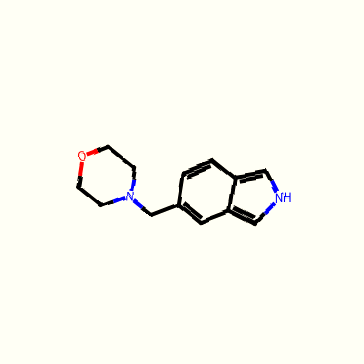 c1cc2c[nH]cc2cc1CN1CCOCC1